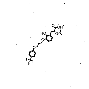 CC(C)OC(Cc1cccc(OCCCOc2ccc(C(F)(F)F)cc2)c1O)C(=O)O